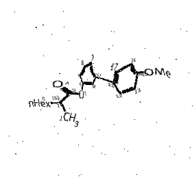 CCCCCC[C@H](C)C(=O)Oc1cccc(-c2ccc(OC)cc2)c1